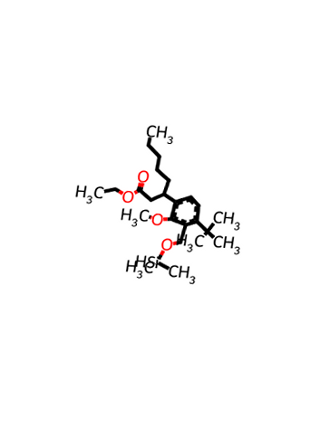 CCCCCC(CC(=O)OCC)c1ccc(C(C)(C)C)c(CO[SiH](C)C)c1OC